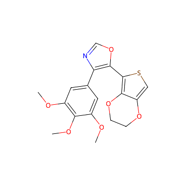 COc1cc(-c2ncoc2-c2scc3c2OCCO3)cc(OC)c1OC